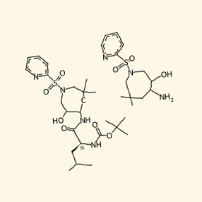 CC(C)C[C@H](NC(=O)OC(C)(C)C)C(=O)NC1CC(C)(C)CN(S(=O)(=O)c2ccccn2)CC1O.CC1(C)CC(N)C(O)CN(S(=O)(=O)c2ccccn2)C1